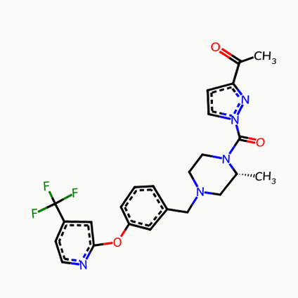 CC(=O)c1ccn(C(=O)N2CCN(Cc3cccc(Oc4cc(C(F)(F)F)ccn4)c3)C[C@H]2C)n1